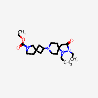 CCOC(=O)N1CCC2(CC(N3CCC4(CC3)CC(=O)N(CC)N4CC)C2)C1